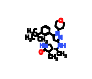 CC(Nc1cc(-c2cccc(C(C)(C)C)c2)n(C2CCOCC2)n1)[C@H]1CNC(=O)[C@@H]1C